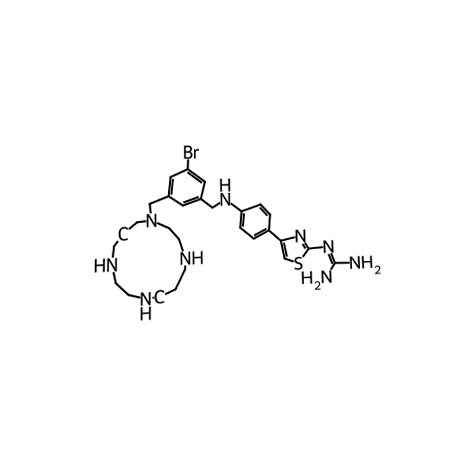 NC(N)=Nc1nc(-c2ccc(NCc3cc(Br)cc(CN4CCCNCCNCCCNCC4)c3)cc2)cs1